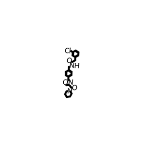 O=C(Cc1cccc(Cl)c1)NCc1ccc(-c2nc(C(=O)N3CCCCC3)co2)cc1